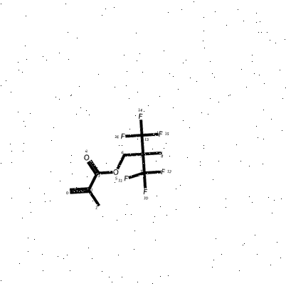 C=C(C)C(=O)OCC(C)(C(F)(F)F)C(F)(F)F